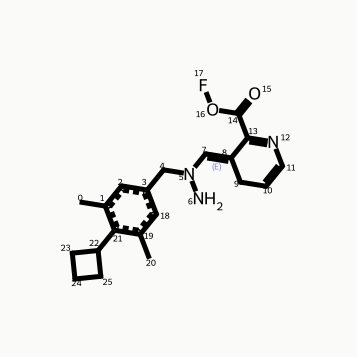 Cc1cc(CN(N)/C=C2\CC=CN=C2C(=O)OF)cc(C)c1C1CCC1